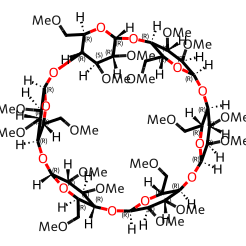 COC[C@H]1O[C@@H]2O[C@H]3[C@H](OC)[C@@H](OC)[C@@H](O[C@H]4[C@H](OC)[C@@H](OC)[C@@H](O[C@H]5[C@H](OC)[C@@H](OC)[C@@H](O[C@H]6[C@H](OC)[C@@H](OC)[C@@H](O[C@H]7[C@H](OC)[C@@H](OC)[C@@H](O[C@H]1[C@H](OC)[C@H]2OC)O[C@@H]7COC)O[C@@H]6COC)O[C@@H]5COC)O[C@@H]4COC)O[C@@H]3COC